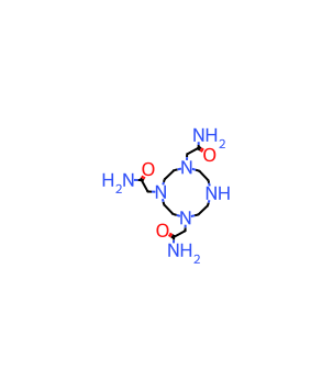 NC(=O)CN1CCNCCN(CC(N)=O)CCN(CC(N)=O)CC1